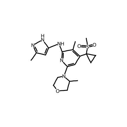 Cc1cc(Nc2nc(N3CCOCC3C)cc(C3(S(C)(=O)=O)CC3)c2C)[nH]n1